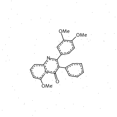 COc1ccc(-c2nc3cccc(OC)n3c(=O)c2-c2ccccc2)cc1OC